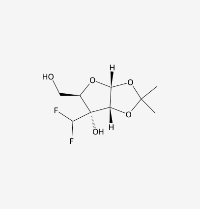 CC1(C)O[C@H]2O[C@H](CO)[C@](O)(C(F)F)[C@H]2O1